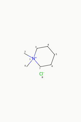 C[N+]1(C)CCCCC1.[Cl-]